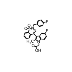 Cc1c(C2=NN(Cc3ccc(F)cc3)S(=O)(=O)c3ccccc32)c2cc(F)ccc2n1CC(=O)O